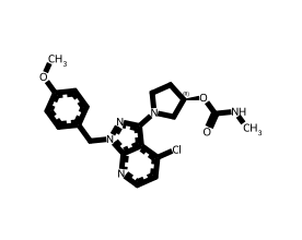 CNC(=O)O[C@@H]1CCN(c2nn(Cc3ccc(OC)cc3)c3nccc(Cl)c23)C1